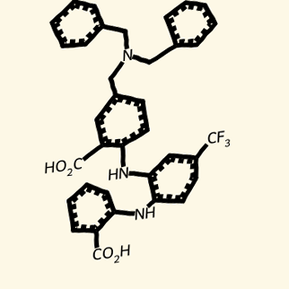 O=C(O)c1ccccc1Nc1ccc(C(F)(F)F)cc1Nc1ccc(CN(Cc2ccccc2)Cc2ccccc2)cc1C(=O)O